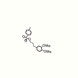 COc1ccc(CCCOS(=O)(=O)c2ccc(C)cc2)cc1OC